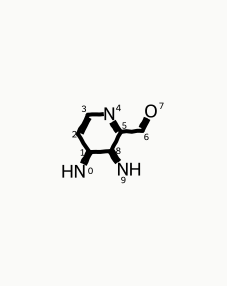 N=C1C=CN=C(C=O)C1=N